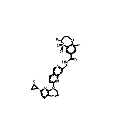 O=C(NCc1cc2nc(N3CCOc4ccc([C@@H]5C[C@H]5F)nc43)ccc2cn1)c1cc(F)c2c(c1)S(=O)(=O)[C@@H](F)CCO2